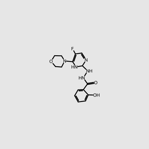 O=C(NNC1N=CC(F)=C(N2CCOCC2)N1)c1ccccc1O